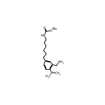 CN(C)c1ccc(CCCCCCNC(=O)OC(C)(C)C)cc1CN